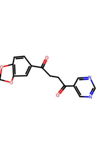 O=C(CCC(=O)c1ccc2c(c1)OCO2)c1cncnc1